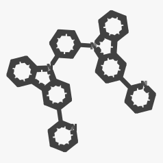 c1ccc(-c2ccc3c(c2)c2ccccc2n3-c2cccc(-n3c4ccccc4c4cc(-c5ccccn5)ccc43)c2)nc1